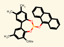 COc1cc(C)cc2c1op(Oc1c3ccccc3cc3ccccc13)oc1cc(C)c(C)cc12